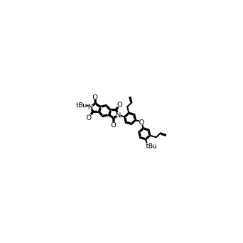 C=CCc1cc(Oc2ccc(C(C)(C)C)c(CC=C)c2)ccc1-n1c(=O)c2cc3c(=O)n(C(C)(C)C)c(=O)c3cc2c1=O